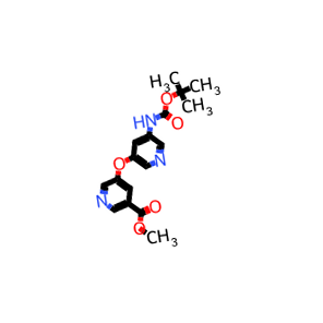 COC(=O)c1cncc(Oc2cncc(NC(=O)OC(C)(C)C)c2)c1